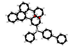 c1ccc(-c2ccc(N(c3ccccc3)c3cccc(-c4cc5ccccc5c5cccc(-c6ccccc6)c45)c3)cc2)cc1